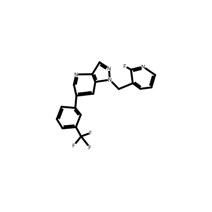 Fc1ncccc1Cn1ncc2ncc(-c3cccc(C(F)(F)F)c3)cc21